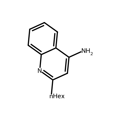 CCCCCCc1cc(N)c2ccccc2n1